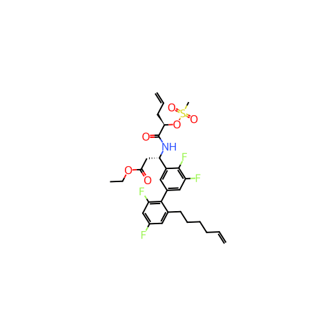 C=CCCCCc1cc(F)cc(F)c1-c1cc(F)c(F)c([C@H](CC(=O)OCC)NC(=O)[C@@H](CC=C)OS(C)(=O)=O)c1